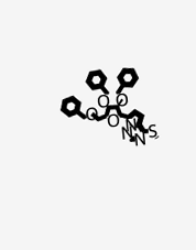 CSc1ncnn2c(C3OC(COCc4ccccc4)[C@@H](OCc4ccccc4)[C@H]3OCc3ccccc3)ccc12